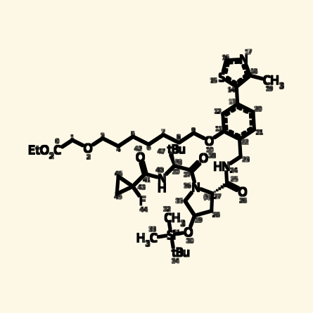 CCOC(=O)COCCCCCCCOc1cc(-c2scnc2C)ccc1CNC(=O)[C@@H]1CC(O[Si](C)(C)C(C)(C)C)CN1C(=O)[C@@H](NC(=O)C1(F)CC1)C(C)(C)C